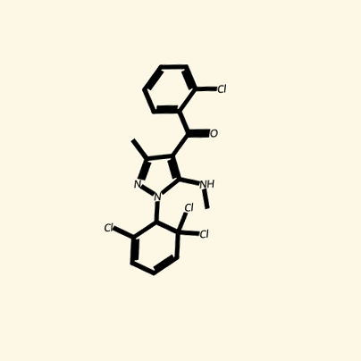 CNc1c(C(=O)c2ccccc2Cl)c(C)nn1C1C(Cl)=CC=CC1(Cl)Cl